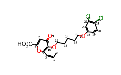 C/C=C\c1oc(C(=O)O)cc(=O)c1OCCCCCOc1ccc(Cl)c(Cl)c1